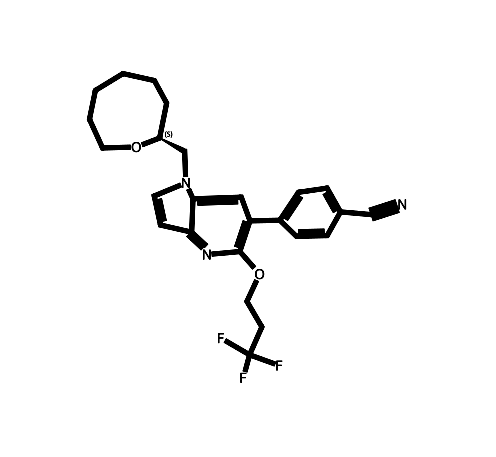 N#Cc1ccc(-c2cc3c(ccn3C[C@@H]3CCCCCCO3)nc2OCCC(F)(F)F)cc1